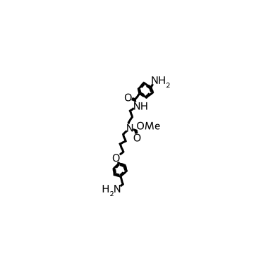 COC(=O)N(CCCCOc1ccc(CN)cc1)CCCNC(=O)c1ccc(N)cc1